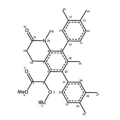 COC(=O)C(OC(C)(C)C)c1c2c(c(-c3ccc(C)c(C)c3)c(C)c1-c1ccc(C)c(C)c1)N(C)C(=O)CC2